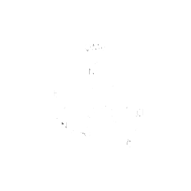 COC1=CCN(c2ccc3c(c2)CCCC(c2ccc(Cl)cc2Cl)=C3c2ccc(O[C@H]3CCN(CCCF)C3)cc2)C1